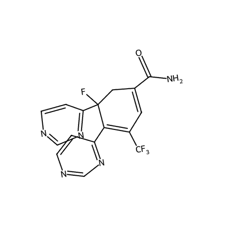 NC(=O)C1=CC(C(F)(F)F)=C(c2ccncn2)C(F)(c2ccncn2)C1